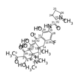 CC(=O)C1=C(O)[C@@H](N(C)C)[C@@H]2C[C@]3(C)Cc4c(F)cc(NC(=O)[C@@H]5CCCN5C)c(O)c4C(=O)C3=C(O)[C@]2(O)C1=O